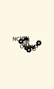 N#Cc1ccc(NC(=O)c2cc3cccc(NC(=O)COc4ccccc4)c3[nH]2)c(-c2nnn[nH]2)c1